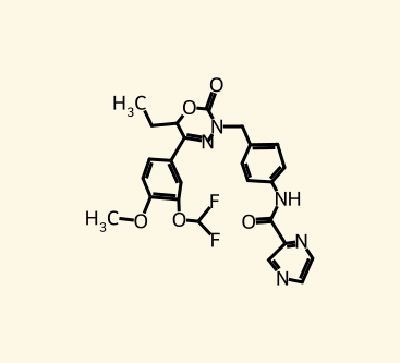 CCC1OC(=O)N(Cc2ccc(NC(=O)c3cnccn3)cc2)N=C1c1ccc(OC)c(OC(F)F)c1